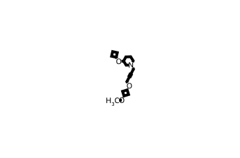 CO[C@H]1C[C@H](OCC#CCN2CCCC(OC3CCC3)C2)C1